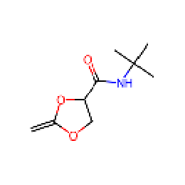 C=C1OCC(C(=O)NC(C)(C)C)O1